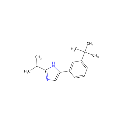 CC(C)c1ncc(-c2cccc(C(C)(C)C)c2)[nH]1